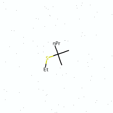 [CH2]CSC(C)(C)CCC